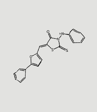 O=C1C(=Cc2ccc(-c3ccccc3)o2)SC(=S)N1Nc1ccccc1